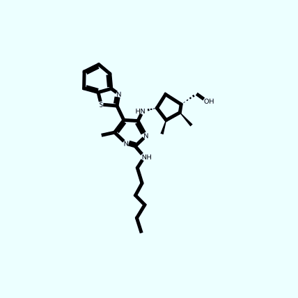 CCCCCCNc1nc(C)c(-c2nc3ccccc3s2)c(N[C@@H]2C[C@H](CO)[C@@H](C)[C@H]2C)n1